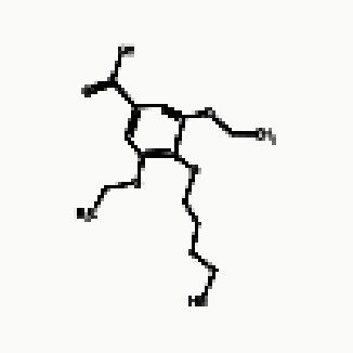 CCOc1cc(C(=O)O)cc(OCC)c1OCCCCO